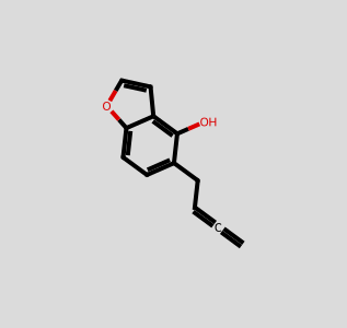 C=C=CCc1ccc2occc2c1O